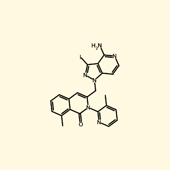 Cc1cccnc1-n1c(Cn2nc(I)c3c(N)nccc32)cc2cccc(C)c2c1=O